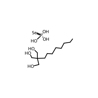 CCCCCCCCC(CO)(CO)CO.OP(O)(O)=[Se]